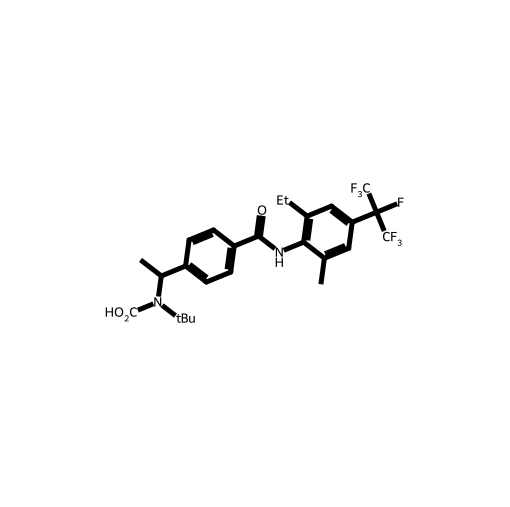 CCc1cc(C(F)(C(F)(F)F)C(F)(F)F)cc(C)c1NC(=O)c1ccc(C(C)N(C(=O)O)C(C)(C)C)cc1